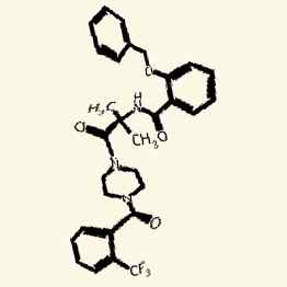 CC(C)(NC(=O)c1ccccc1OCc1ccccc1)C(=O)N1CCN(C(=O)c2ccccc2C(F)(F)F)CC1